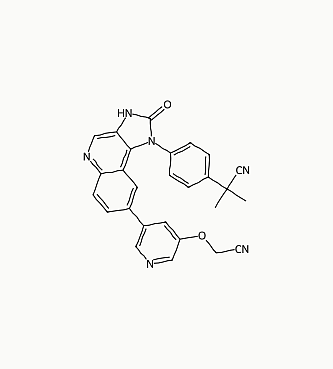 CC(C)(C#N)c1ccc(-n2c(=O)[nH]c3cnc4ccc(-c5cncc(OCC#N)c5)cc4c32)cc1